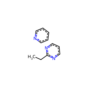 CCc1ncccn1.c1ccncc1